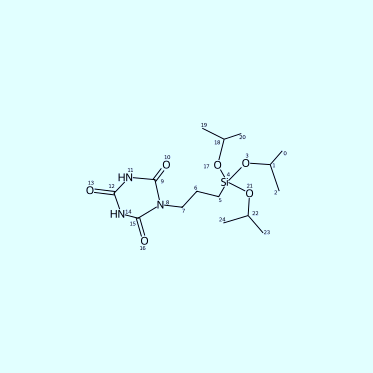 CC(C)O[Si](CCCn1c(=O)[nH]c(=O)[nH]c1=O)(OC(C)C)OC(C)C